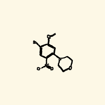 COc1cc(N2CCOCC2)c([N+](=O)[O-])cc1Br